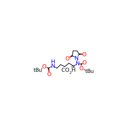 CC(C)(C)OC(=O)NCCCC[C@@H](C(=O)O)N(C(=O)OC(C)(C)C)N1C(=O)CCC1=O